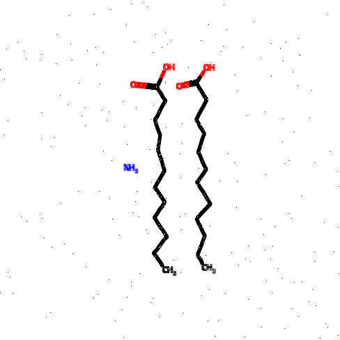 CCCCCCCCCCCC(=O)O.CCCCCCCCCCCC(=O)O.N